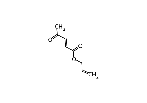 C=CCOC(=O)C=CC(C)=O